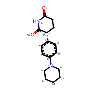 O=C1CC[C@H](c2ccc(N3CCCCC3)cc2)C(=O)N1